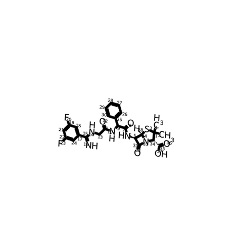 CC1(C)S[C@@H]2[C@H](NC(=O)C(NC(=O)CNC(=N)c3cc(F)cc(F)c3)c3ccccc3)C(=O)N2[C@H]1C(=O)O